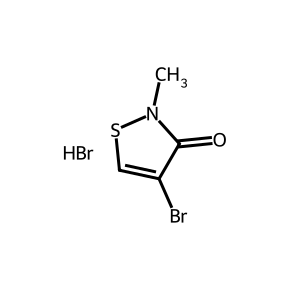 Br.Cn1scc(Br)c1=O